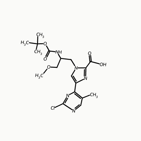 COCC(Cn1cc(-c2nc(Cl)ncc2C)nc1C(=O)O)NC(=O)OC(C)(C)C